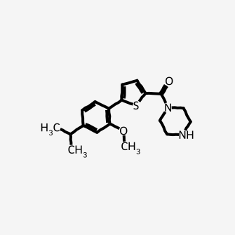 COc1cc(C(C)C)ccc1-c1ccc(C(=O)N2CCNCC2)s1